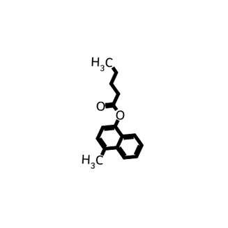 CCCCC(=O)Oc1ccc(C)c2ccccc12